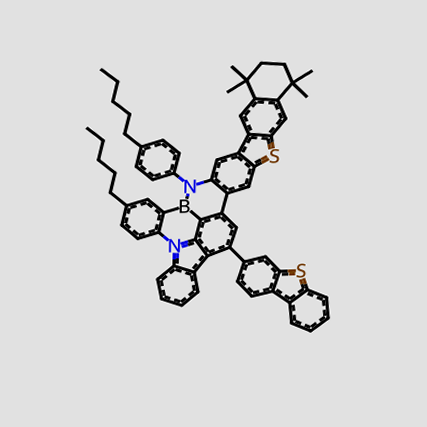 CCCCCc1ccc(N2B3c4cc(CCCCC)ccc4-n4c5ccccc5c5c(-c6ccc7c(c6)sc6ccccc67)cc(c3c54)-c3cc4sc5cc6c(cc5c4cc32)C(C)(C)CCC6(C)C)cc1